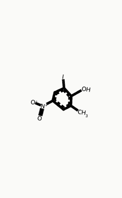 Cc1cc([N+](=O)[O-])cc(I)c1O